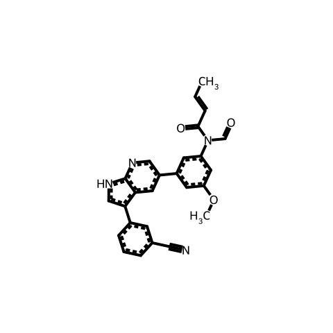 CC=CC(=O)N(C=O)c1cc(OC)cc(-c2cnc3[nH]cc(-c4cccc(C#N)c4)c3c2)c1